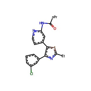 CCCC(=O)Nc1cc(-c2sc(CC)nc2-c2cccc(Cl)c2)ccn1